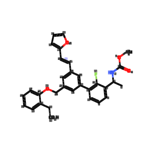 CC(NC(=O)OC(C)(C)C)c1cccc(-c2cc(/C=C/c3ccco3)cc(COc3ccccc3CC(=O)O)c2)c1F